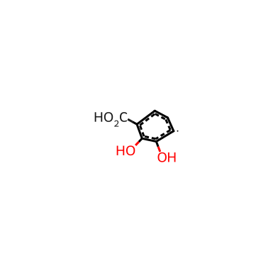 O=C(O)c1cc[c]c(O)c1O